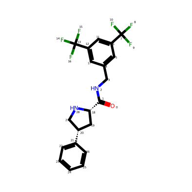 O=C(NCc1cc(C(F)(F)F)cc(C(F)(F)F)c1)[C@@H]1C[C@H](c2ccccc2)CN1